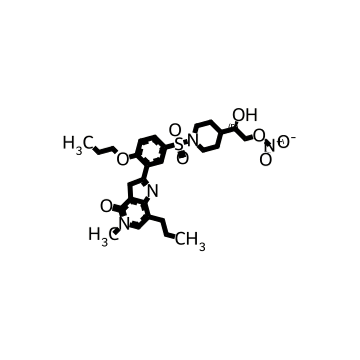 CCCOc1ccc(S(=O)(=O)N2CCC([C@@H](O)CO[N+](=O)[O-])CC2)cc1C1=Nc2c(CCC)cn(C)c(=O)c2C1